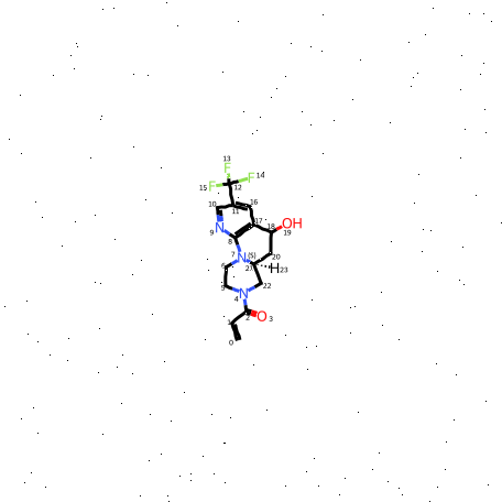 C=CC(=O)N1CCN2c3ncc(C(F)(F)F)cc3C(O)C[C@H]2C1